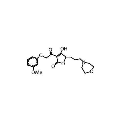 COc1cccc(OCC(=O)C2=C(O)C(CCCN3CCOCC3)OC2=O)c1